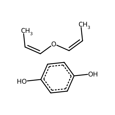 C/C=C\O/C=C\C.Oc1ccc(O)cc1